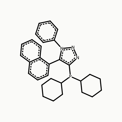 c1ccc(-n2nnc(P(C3CCCCC3)C3CCCCC3)c2-c2cccc3ccccc23)cc1